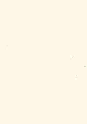 C=CCC/C=C/C=C/C(F)(F)F